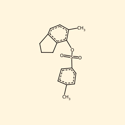 Cc1ccc(S(=O)(=O)Oc2c(C)ccc3c2CCC3)cc1